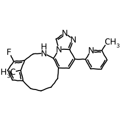 Cc1cccc(-c2cc3c(n4cnnc24)NCc2c(F)ccc(c2C)CCCC3)n1